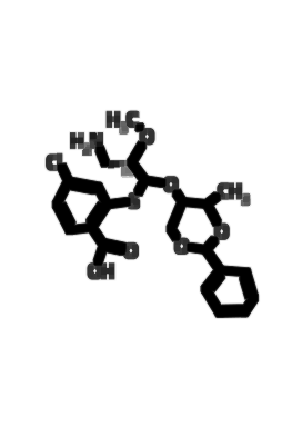 CO[C@@H](CN)C(OC1COC(c2ccccc2)OC1C)Sc1cc(Cl)ccc1C(=O)O